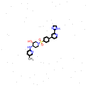 Cc1ccc(N[C@@H]2CCN(S(=O)(=O)c3ccc(-c4ccnc(-c5ncc[nH]5)c4)cc3)C[C@@H]2O)nc1